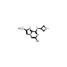 O=C(O)c1cn2cc(Br)nc(OC3COC3)c2n1